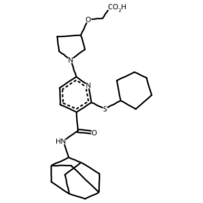 O=C(O)COC1CCN(c2ccc(C(=O)NC3C4CC5CC(C4)CC3C5)c(SC3CCCCC3)n2)C1